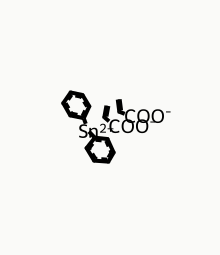 C=CC(=O)[O-].C=CC(=O)[O-].c1cc[c]([Sn+2][c]2ccccc2)cc1